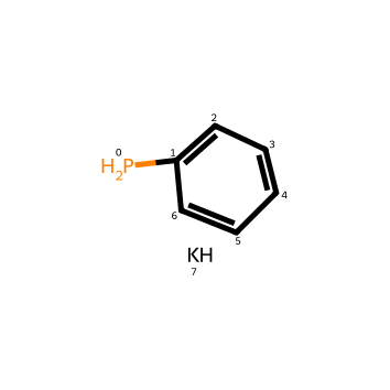 Pc1ccccc1.[KH]